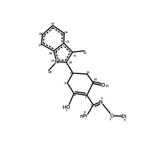 CCCC(=NOCC)C1=C(O)CC(c2c(C)c3ccccc3n2C)CC1=O